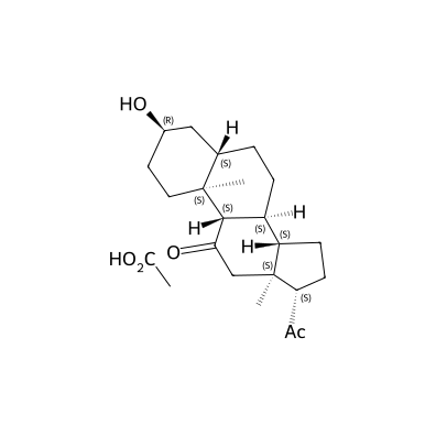 CC(=O)O.CC(=O)[C@H]1CC[C@H]2[C@@H]3CC[C@H]4C[C@H](O)CC[C@]4(C)[C@H]3C(=O)C[C@]12C